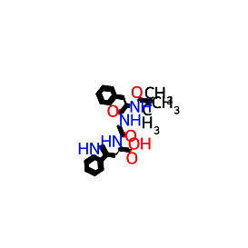 CC(C)(C)C(=O)N[C@H](Cc1ccccc1)C(=O)NCC(=O)N[C@@H](Cc1c[nH]c2ccccc12)C(=O)O